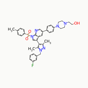 Cc1ccc(S(=O)(=O)n2cc(-c3c(C)nn(Cc4cccc(F)c4)c3C)c3cc(-c4ccc(N5CCN(CCO)CC5)cc4)cnc32)cc1